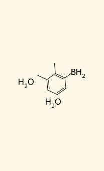 Bc1cccc(C)c1C.O.O